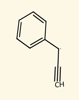 C#C[CH]c1ccccc1